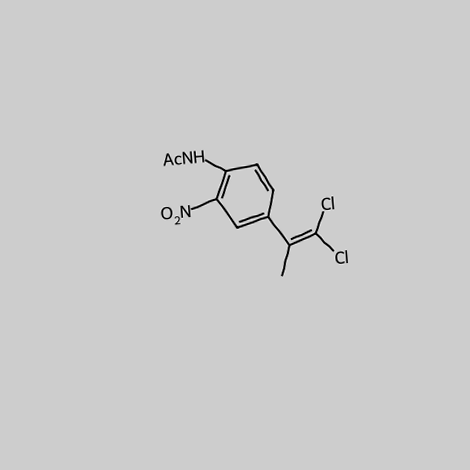 CC(=O)Nc1ccc(C(C)=C(Cl)Cl)cc1[N+](=O)[O-]